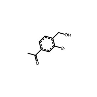 CC(=O)c1ccc(CO)c(Br)c1